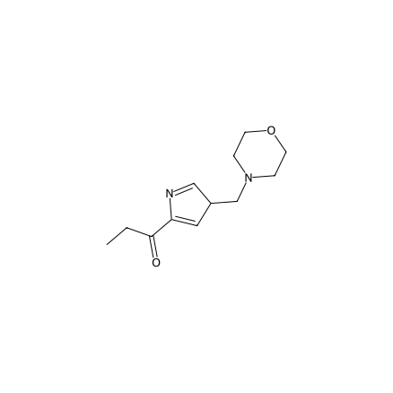 CCC(=O)C1=CC(CN2CCOCC2)C=N1